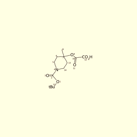 CC(C)(C)OC(=O)N1CCC(C)(OC(=O)C(=O)O)CC1